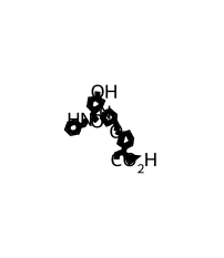 O=C(O)CC(c1cccc(OCC2CCN(c3cc(O)ccc3C(=O)NCC3CCCCC3)CC2)c1)C1CC1